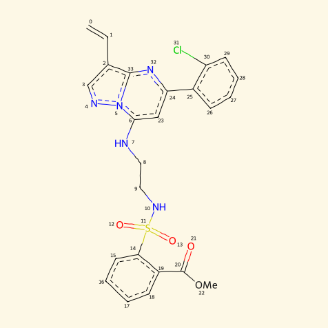 C=Cc1cnn2c(NCCNS(=O)(=O)c3ccccc3C(=O)OC)cc(-c3ccccc3Cl)nc12